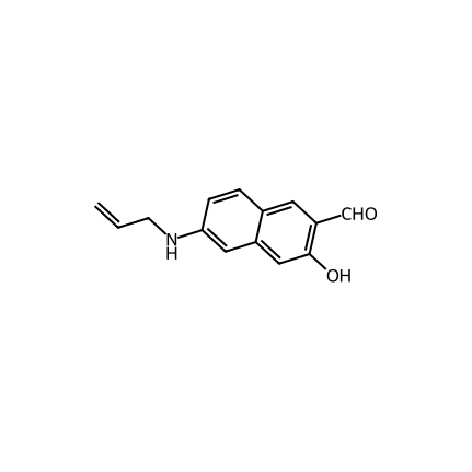 C=CCNc1ccc2cc(C=O)c(O)cc2c1